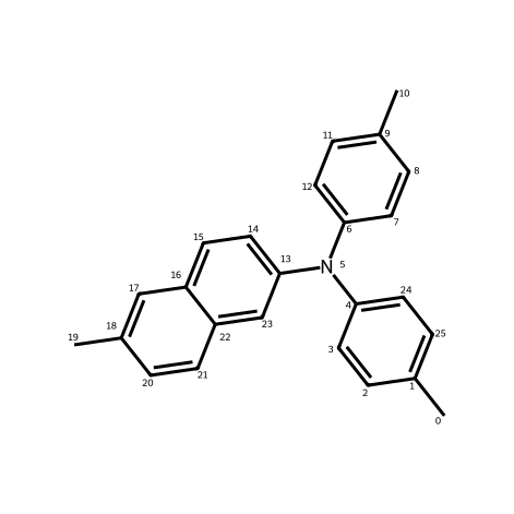 Cc1ccc(N(c2ccc(C)cc2)c2ccc3cc(C)ccc3c2)cc1